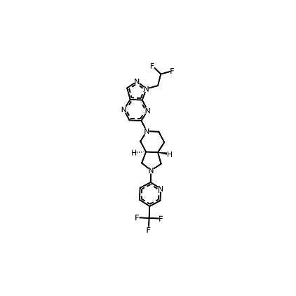 FC(F)Cn1ncc2ncc(N3CC[C@@H]4CN(c5ccc(C(F)(F)F)cn5)C[C@H]4C3)nc21